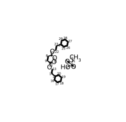 CCS(=O)(=O)O.O=C(/C=C\C(=O)OC=Cc1ccccc1)OC=Cc1ccccc1